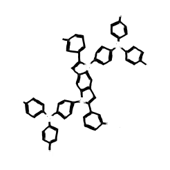 Cc1ccc(N(c2ccc(C)cc2)c2ccc(-n3c(-c4cccc(C)c4)cc4cc5c(cc(-c6cccc(C)c6)n5-c5ccc(N(c6ccc(C)cc6)c6ccc(C)cc6)cc5)cc43)cc2)cc1